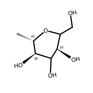 C[C@@H]1OC(CO)[C@@H](O)C(O)[C@H]1O